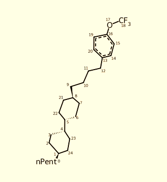 CCCCC[C@H]1CC[C@H]([C@H]2CC[C@H](CCCCc3ccc(OC(F)(F)F)cc3)CC2)CC1